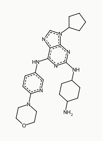 NC1CCC(Nc2nc(Nc3ccc(N4CCOCC4)nc3)c3ncn(C4CCCC4)c3n2)CC1